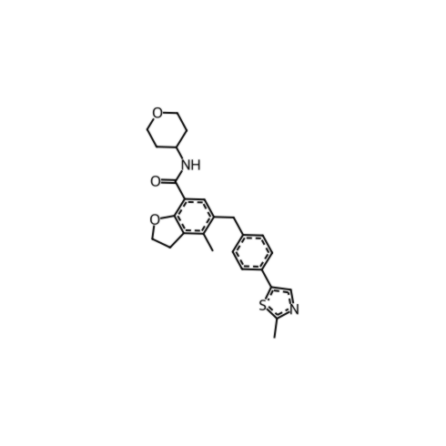 Cc1ncc(-c2ccc(Cc3cc(C(=O)NC4CCOCC4)c4c(c3C)CCO4)cc2)s1